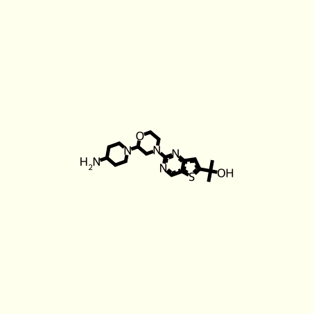 CC(C)(O)c1cc2nc(N3CCOC(N4CCC(N)CC4)C3)ncc2s1